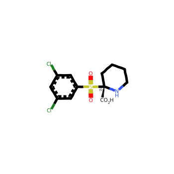 O=C(O)[C@@]1(S(=O)(=O)c2cc(Cl)cc(Cl)c2)CCCCN1